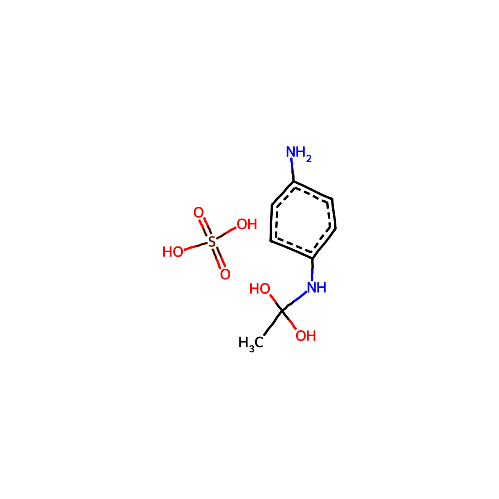 CC(O)(O)Nc1ccc(N)cc1.O=S(=O)(O)O